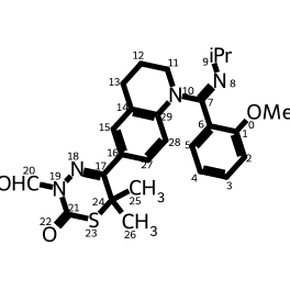 COc1ccccc1/C(=N/C(C)C)N1CCCc2cc(C3=NN(C=O)C(=O)SC3(C)C)ccc21